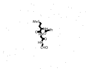 CSCCC(NC(=O)C(C)C)C(=O)NCC(=O)NCC=O